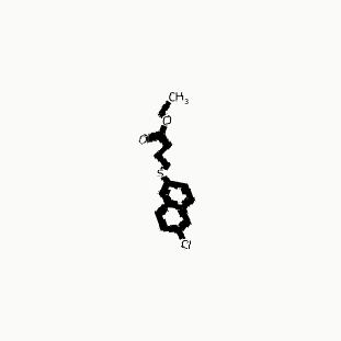 CCOC(=O)CCCSc1ccc2cc(Cl)ccc2c1